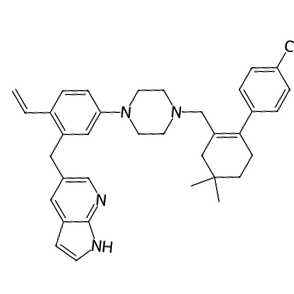 C=Cc1ccc(N2CCN(CC3=C(c4ccc(Cl)cc4)CCC(C)(C)C3)CC2)cc1Cc1cnc2[nH]ccc2c1